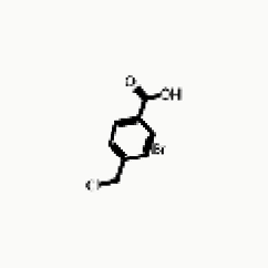 Br.O=C(O)c1ccc(CCl)cc1